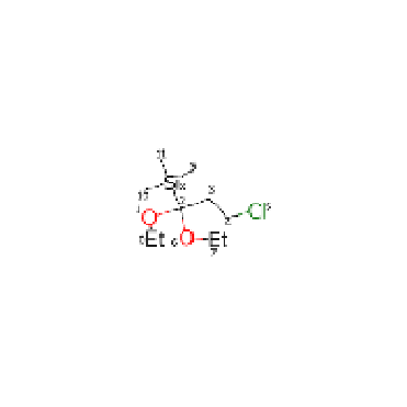 CCOC(CCCl)(OCC)[Si](C)(C)C